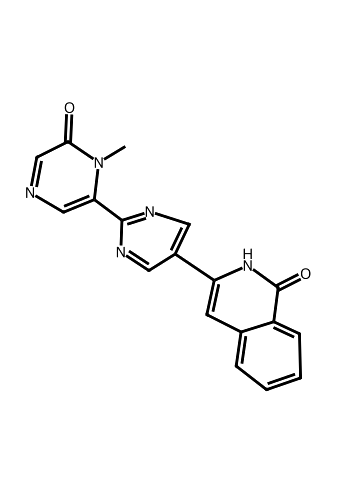 Cn1c(-c2ncc(-c3cc4ccccc4c(=O)[nH]3)cn2)cncc1=O